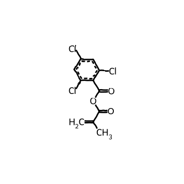 C=C(C)C(=O)OC(=O)c1c(Cl)cc(Cl)cc1Cl